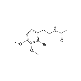 COc1ccc(CCNC(C)=O)c(Br)c1OC